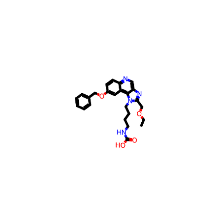 CCOCc1nc2cnc3ccc(OCc4ccccc4)cc3c2n1CCCCNC(=O)O